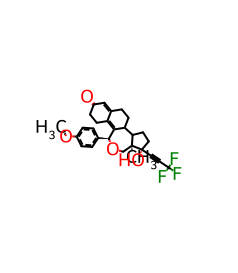 COc1ccc([C@@H]2OC[C@@]3(C)C(CC[C@@]3(O)C#CC(F)(F)F)C3CCC4=CC(=O)CCC4=C32)cc1